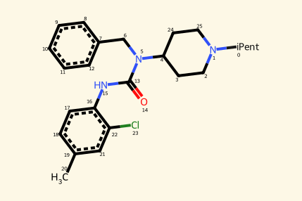 CCCC(C)N1CCC(N(Cc2ccccc2)C(=O)Nc2ccc(C)cc2Cl)CC1